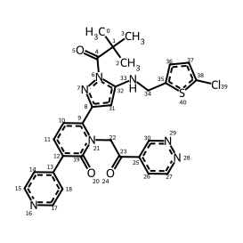 CC(C)(C)C(=O)n1nc(-c2ccc(-c3ccncc3)c(=O)n2CC(=O)c2ccnnc2)cc1NCc1ccc(Cl)s1